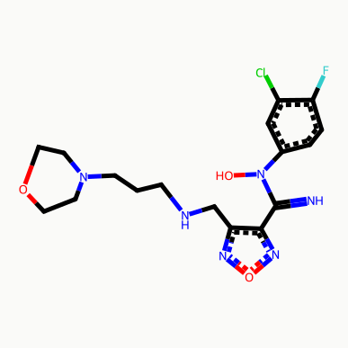 N=C(c1nonc1CNCCCN1CCOCC1)N(O)c1ccc(F)c(Cl)c1